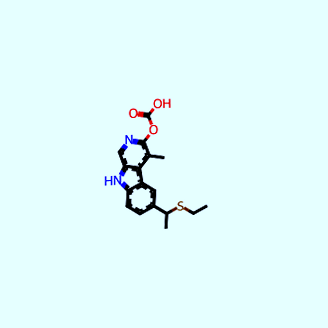 CCSC(C)c1ccc2[nH]c3cnc(OC(=O)O)c(C)c3c2c1